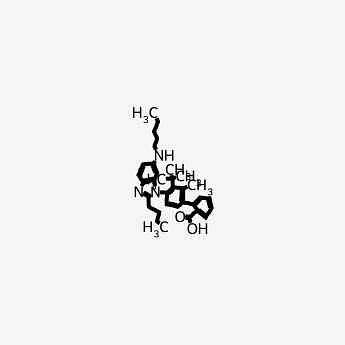 CCCCCNc1ccc2nc(CCCC)n(-c3ccc(-c4ccccc4C(=O)O)c(C)c3C(C)(C)C)c2c1